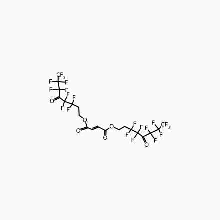 O=C(C=CC(=O)OCCC(F)(F)C(F)(F)C(=O)C(F)(F)C(F)(F)C(F)(F)F)OCCC(F)(F)C(F)(F)C(=O)C(F)(F)C(F)(F)C(F)(F)F